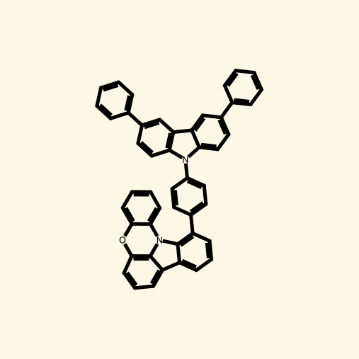 c1ccc(-c2ccc3c(c2)c2cc(-c4ccccc4)ccc2n3-c2ccc(-c3cccc4c5cccc6c5n(c34)-c3ccccc3O6)cc2)cc1